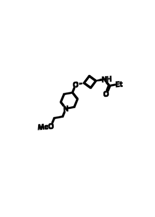 CCC(=O)N[C@H]1C[C@H](OC2CCN(CCOC)CC2)C1